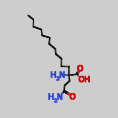 CCCCCCCCCCCCC(N)(CCC(N)=O)C(=O)O